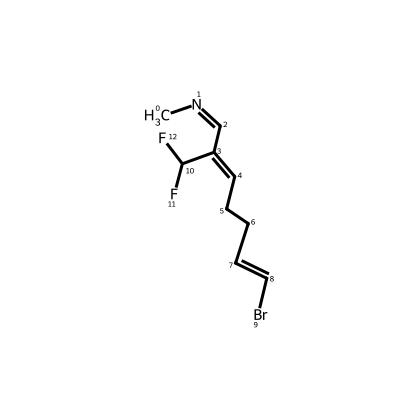 C/N=C\C(=CCC/C=C/Br)C(F)F